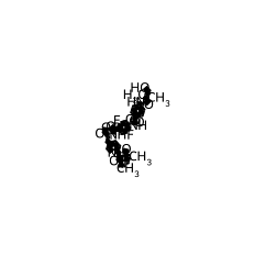 Cc1cn(C)c(=O)n(-c2ccc(C[C@H](NC(=O)c3cc(F)c(NS(=O)(=O)c4ccc(NC(=O)C(C)(C)CO)cc4)cc3F)C(=O)OCC(C)C)cn2)c1=O